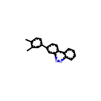 Cc1ccc(-c2ccc3c(c2)nnc2ccccc23)cc1C